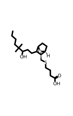 CCCCC(C)(C)C(O)CCC1C2CC[C@H](O2)[C@H]1CSCCCC(=O)O